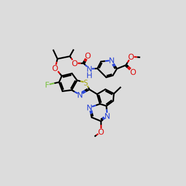 COC(=O)c1ccc(NC(=O)OC(C)C(C)Oc2cc3sc(-c4cc(C)cc5nc(OC)cnc45)nc3cc2F)cn1